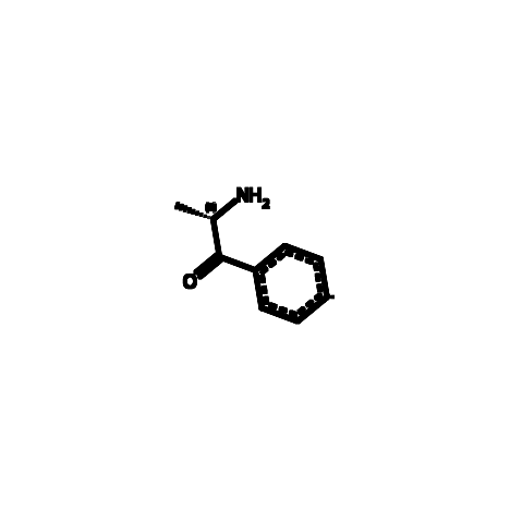 C[C@H](N)C(=O)c1cc[c]cc1